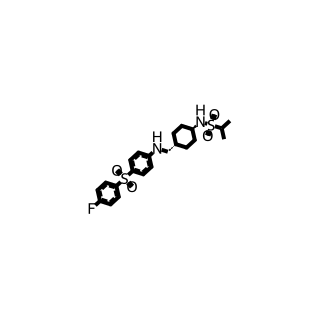 CC(C)S(=O)(=O)N[C@H]1CC[C@H](CNc2ccc(S(=O)(=O)c3ccc(F)cc3)cc2)CC1